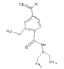 CCc1cc([N+](=O)[O-])ccc1C(=O)NN(CC)CC